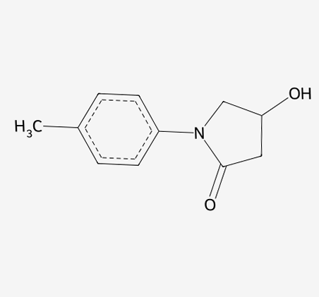 Cc1ccc(N2CC(O)CC2=O)cc1